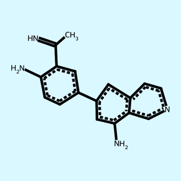 CC(=N)c1cc(-c2cc(N)c3cnccc3c2)ccc1N